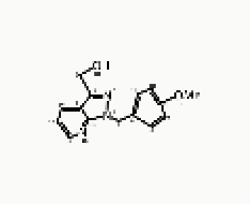 COc1ccc(Cn2nc(CO)c3cccnc32)cc1